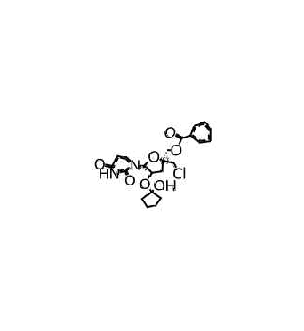 O=C(OC[C@]1(CCl)CC(OC2(O)CCCC2)[C@H](n2ccc(=O)[nH]c2=O)O1)c1ccccc1